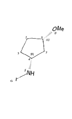 CO[C@H]1CC[C@@H](NI)C1